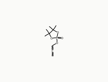 C=C=COP1(=O)OC(C)(C)C(C)(C)O1